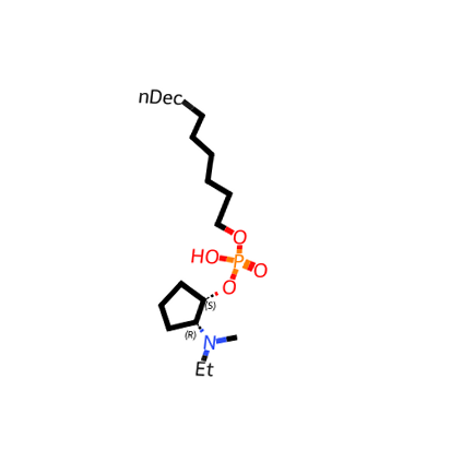 CCCCCCCCCCCCCCCCOP(=O)(O)O[C@H]1CCC[C@H]1N(C)CC